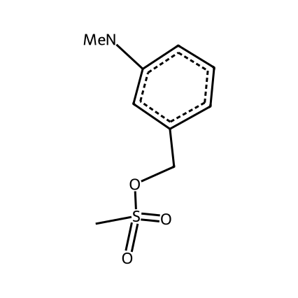 CNc1cccc(COS(C)(=O)=O)c1